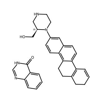 O=c1[nH]cnc2ccccc12.OC[C@H]1CNCCN1c1ccc2c3c(ccc2c1)C1=C(CCC=C1)CC3